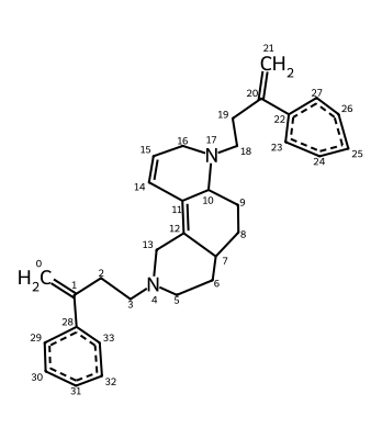 C=C(CCN1CCC2CCC3C(=C2C1)C=CCN3CCC(=C)c1ccccc1)c1ccccc1